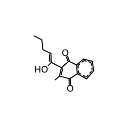 CCCC=C(O)C1=C(C)C(=O)c2ccccc2C1=O